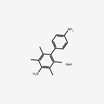 Cc1c(C)c(-c2ccc(N)cc2)c(C)c(C)c1N.[NaH]